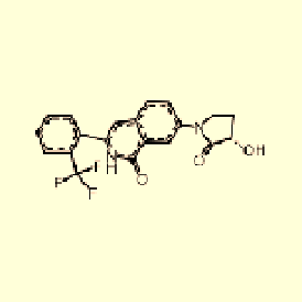 O=C1[C@@H](O)CCN1c1ccc2cc(-c3ccccc3C(F)(F)F)[nH]c(=O)c2c1